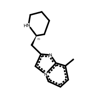 Cc1cccn2cc(C[C@@H]3CCCCN3)nc12